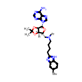 CC(C)N(CCCCc1nc2cc(C(C)(C)C)ccc2[nH]1)C[C@H]1O[C@@H](n2cnc3c(N)ncnc32)C2OC(C)(C)O[C@@H]21